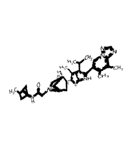 Cc1c(-c2[nH]c3sc([C@@H]4CC5C[C@H]4CN5CC(=O)NC45CC(C)(C4)C5)c(C)c3c2C(C)C)cn2ncnc2c1C